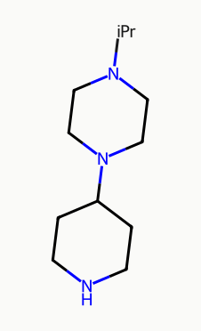 CC(C)N1CCN(C2CCNCC2)CC1